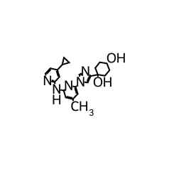 Cc1cc(Nc2cc(C3CC3)ccn2)nc(-n2cnc(C3(O)CCC(O)CC3)c2)c1